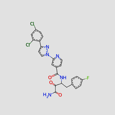 NC(=O)C(=O)C(Cc1ccc(F)cc1)NC(=O)c1ccnc(-n2ccc(-c3ccc(Cl)cc3Cl)n2)c1